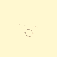 O=Nc1c(O)ccc(Cl)c1OC(F)(F)F